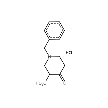 Cl.O=C(O)C1CN(Cc2ccccc2)CCC1=O